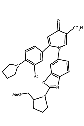 COCC1CCCN1c1nc2ccc(-n3cc(C(=O)O)c(=O)cc3-c3ccc(N4CCCC4)c(C(C)=O)c3)cc2o1